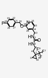 O=C(NCCC1(C(F)(F)F)CC1)NCc1ccnc(OCc2ccc(F)cc2)c1